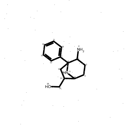 NC1CCC2NC1(c1ccccc1)CC2CO